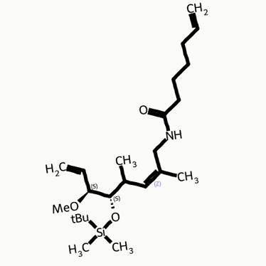 C=CCCCCC(=O)NC/C(C)=C\C(C)[C@H](O[Si](C)(C)C(C)(C)C)[C@H](C=C)OC